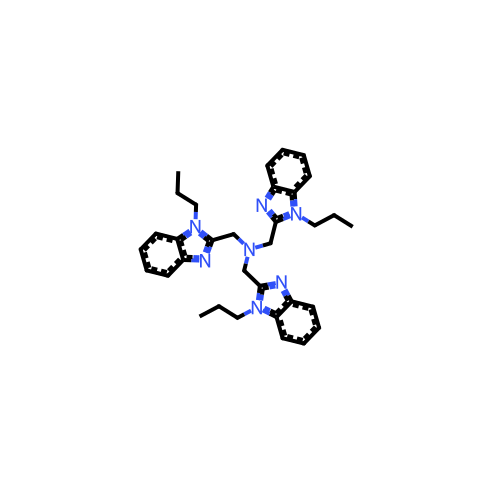 CCCn1c(CN(Cc2nc3ccccc3n2CCC)Cc2nc3ccccc3n2CCC)nc2ccccc21